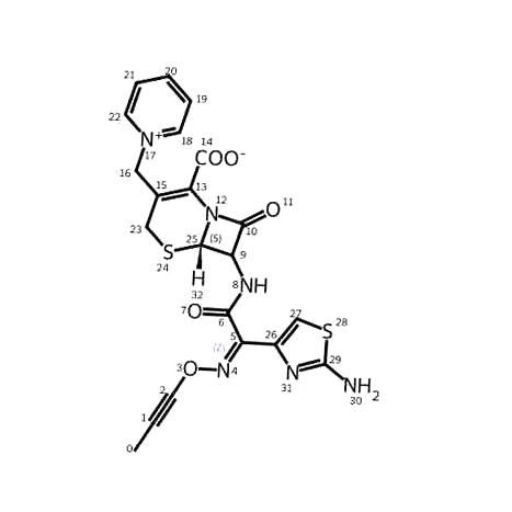 CC#CO/N=C(\C(=O)NC1C(=O)N2C(C(=O)[O-])=C(C[n+]3ccccc3)CS[C@@H]12)c1csc(N)n1